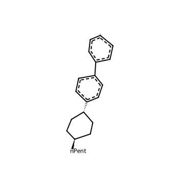 CCCCC[C@H]1CC[C@H](c2ccc(-c3cc[c]cc3)cc2)CC1